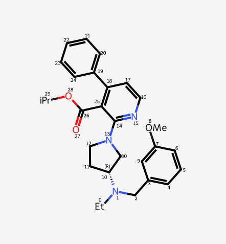 CCN(Cc1cccc(OC)c1)[C@@H]1CCN(c2nccc(-c3ccccc3)c2C(=O)OC(C)C)C1